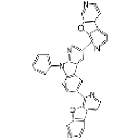 c1ccc(-n2c3ncc(-c4nccc5c4oc4cnccc45)cc3c3cc(-c4nccc5c4oc4cnccc45)cnc32)cc1